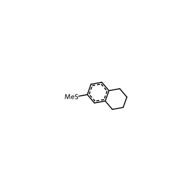 CSc1ccc2c(c1)CCCC2